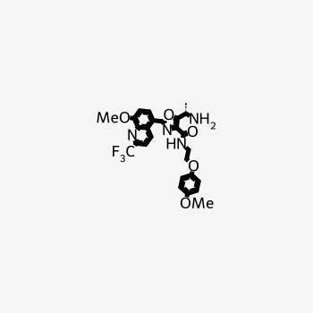 COc1ccc(OCCNC(=O)c2nc(-c3ccc(OC)c4nc(C(F)(F)F)ccc34)oc2[C@H](C)N)cc1